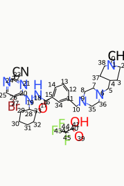 CN1CCC(CN2CCN(Cc3cccc(C(=O)NN(c4nc(C#N)ncc4Br)C4CCCCC4)c3)CC2)CC1.O=C(O)C(F)(F)F